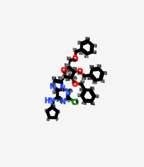 Clc1nc(NC2CCCC2)c2ncc([C@@H]3O[C@H](COCc4ccccc4)[C@@H](OCc4ccccc4)[C@H]3OCc3ccccc3)n2n1